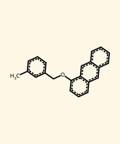 Cc1cccc(COc2cccc3cc4ccccc4cc23)c1